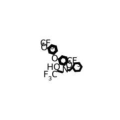 OC(CN(CC1(OC(F)(F)F)CCCCC1)c1cccc(Oc2cccc(OC(F)(F)F)c2)c1)C(F)(F)F